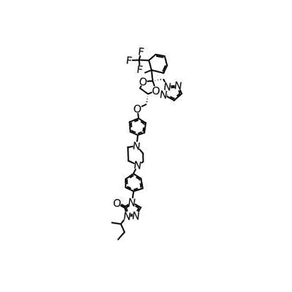 CCC(C)n1ncn(-c2ccc(N3CCN(c4ccc(OC[C@@H]5CO[C@@](Cn6nccn6)(C6(C)C=CC=CC6C(F)(F)F)O5)cc4)CC3)cc2)c1=O